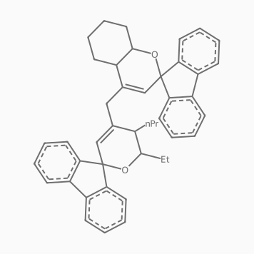 CCCC1C(CC2=CC3(OC4CCCCC24)c2ccccc2-c2ccccc23)=CC2(OC1CC)c1ccccc1-c1ccccc12